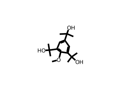 COc1c(C(C)(C)O)cc(C(C)(C)O)cc1C(C)(C)O